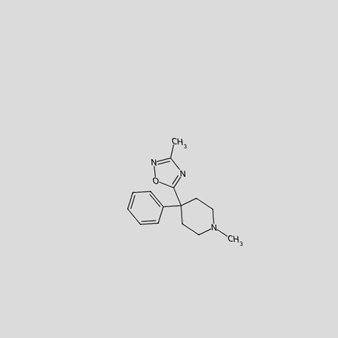 Cc1noc(C2(c3ccccc3)CCN(C)CC2)n1